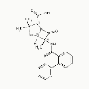 CC1(C)S[C@H]2N(C(=O)[C@]2(C)NC(=O)c2ccccc2-c2ccccc2)[C@H]1C(=O)O